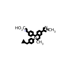 CC1Cc2cc(-c3cnn(C)c3)ccc2C(c2ccc(/C=C/C(=O)O)cc2)N1c1ccc(CC2CC2)cc1